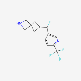 FC(c1ccc(C(F)(F)F)nc1)C1CC2(CNC2)C1